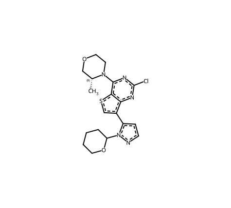 C[C@@H]1COCCN1c1nc(Cl)nc2c(-c3ccnn3C3CCCCO3)csc12